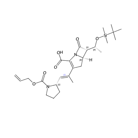 C=CCOC(=O)N1CCC[C@H]1/C=C(\C)C1=C(C(=O)O)N2C(=O)[C@H]([C@@H](C)O[Si](C)(C)C(C)(C)C)[C@H]2C1